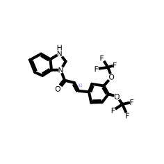 O=C(/C=C/c1ccc(OC(F)(F)F)c(OC(F)(F)F)c1)N1CNc2ccccc21